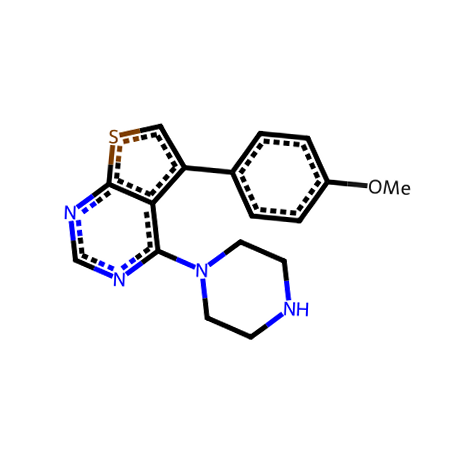 COc1ccc(-c2csc3ncnc(N4CCNCC4)c23)cc1